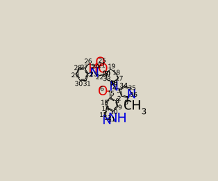 Cc1cc(N(C(=O)c2ccc3[nH]ncc3c2)[C@@H]2CCC[C@@](O)(CN3C(=O)Cc4ccccc43)C2)ccn1